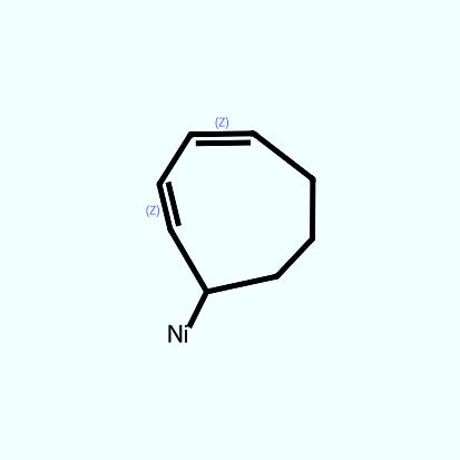 [Ni][CH]1/C=C\C=C/CCC1